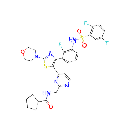 O=C(NCc1nccc(-c2sc(N3CCOCC3)nc2-c2cccc(NS(=O)(=O)c3cc(F)ccc3F)c2F)n1)C1CCCC1